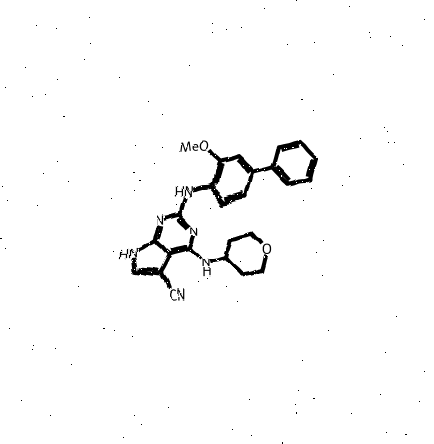 COc1cc(-c2ccccc2)ccc1Nc1nc(NC2CCOCC2)c2c(C#N)c[nH]c2n1